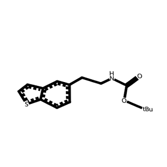 CC(C)(C)OC(=O)NCCc1ccc2sccc2c1